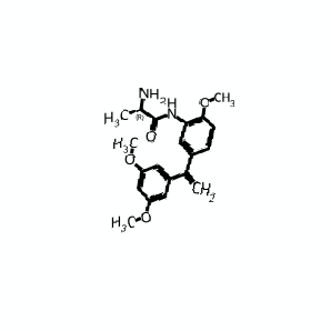 C=C(c1cc(OC)cc(OC)c1)c1ccc(OC)c(NC(=O)[C@@H](C)N)c1